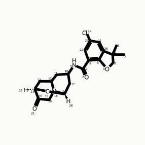 CC1(C)COc2c(C(=O)NC3CC4C[C@H]5C[C@H](C3)N4CC5=O)cc(Cl)cc21